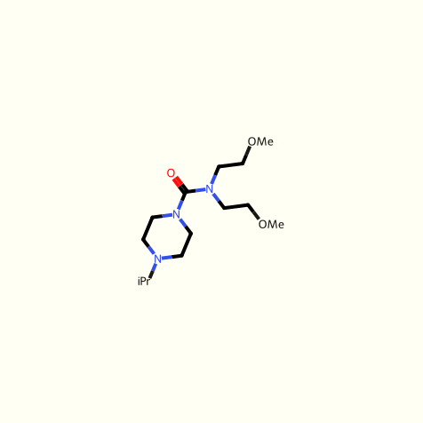 COCCN(CCOC)C(=O)N1CCN(C(C)C)CC1